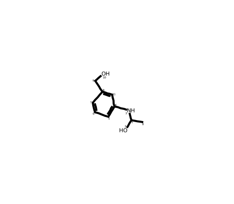 CC(O)Nc1cccc(CO)c1